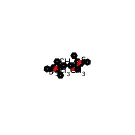 Cc1cc(-c2ccc(N(c3cccc(-c4ccccc4)c3)c3c(C)cccc3-c3ccc4sc5ccccc5c4c3)c(C)c2)ccc1N(c1cccc(-c2ccccc2)c1)c1c(C)cccc1-c1ccc2sc3ccccc3c2c1